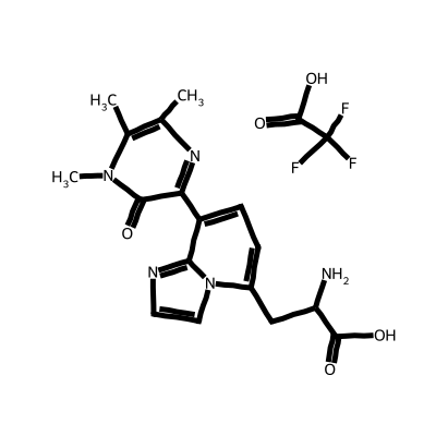 Cc1nc(-c2ccc(CC(N)C(=O)O)n3ccnc23)c(=O)n(C)c1C.O=C(O)C(F)(F)F